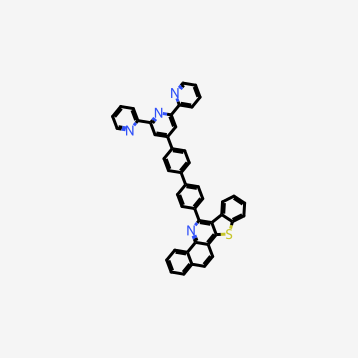 c1ccc(-c2cc(-c3ccc(-c4ccc(-c5nc6c7ccccc7ccc6c6sc7ccccc7c56)cc4)cc3)cc(-c3ccccn3)n2)nc1